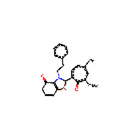 COc1cc(C(C)C)ccc(C2SC3=C(C(=O)CC=C3)N2CCc2ccccc2)c1=O